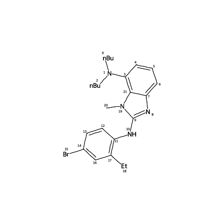 CCCCN(CCCC)c1cccc2nc(Nc3ccc(Br)cc3CC)n(C)c12